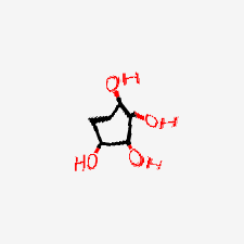 OC1CC(O)C(O)C1O